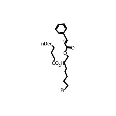 CC(C)CCCCCCCOC(=O)/C=C/c1ccccc1.CCCCCCCCCCCCCC(=O)O